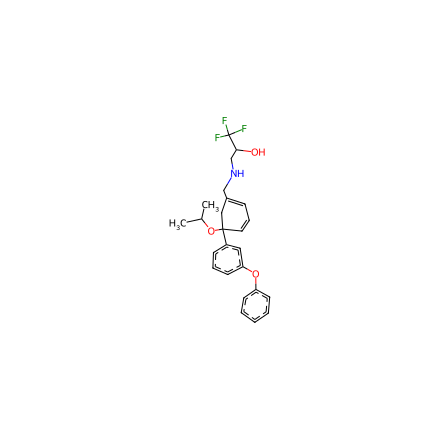 CC(C)OC1(c2cccc(Oc3ccccc3)c2)C=CC=C(CNCC(O)C(F)(F)F)C1